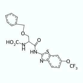 O=C(O)NC(COCc1ccccc1)C(=O)Nc1nc2ccc(OC(F)(F)F)cc2s1